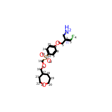 NC/C(=C\F)COc1ccc(S(=O)(=O)COCC2CCCOCC2)cc1